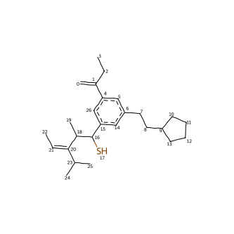 C=C(CC)c1cc(CCC2CCCC2)cc(C(S)C(C)/C(=C\C)C(C)C)c1